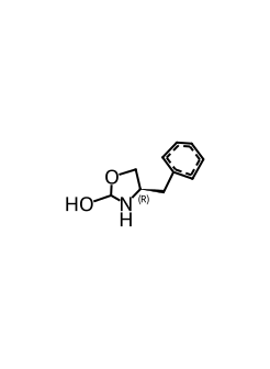 OC1N[C@H](Cc2ccccc2)CO1